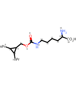 CCCC1C(CCC)C1COC(=O)NCCCCC(N)C(=O)O